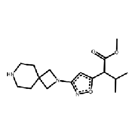 COC(=O)C(c1cc(N2CC3(CCNCC3)C2)no1)C(C)C